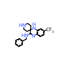 FC(F)(F)c1ccc2c(c1)NC1(CCNCC1)C(NCc1ccccc1)=N2